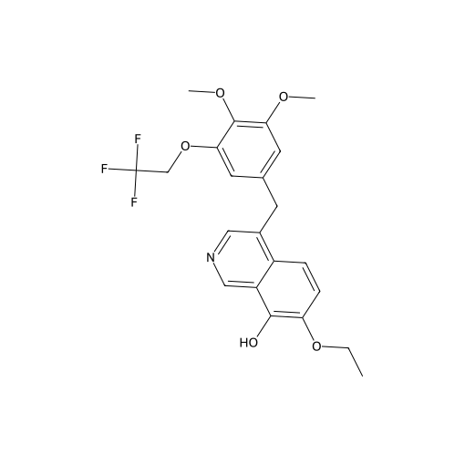 CCOc1ccc2c(Cc3cc(OC)c(OC)c(OCC(F)(F)F)c3)cncc2c1O